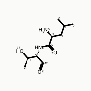 CC(C)C[C@H](N)C(=O)N[C@H]([C]=O)[C@@H](C)O